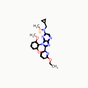 CCOC1=NC(c2nc3ncc(N(CC4CC4)PC)nc3n2-c2c(O)cccc2OC)=C=C=C1